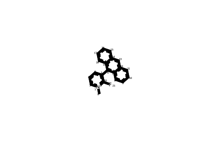 C[n+]1cccc(-c2c3ccccc3cc3ccccc23)c1F